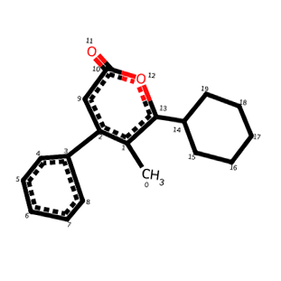 Cc1c(-c2ccccc2)cc(=O)oc1C1CCCCC1